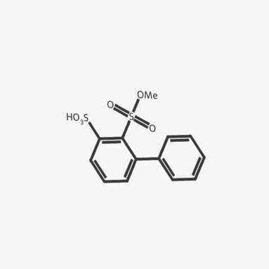 COS(=O)(=O)c1c(-c2ccccc2)cccc1S(=O)(=O)O